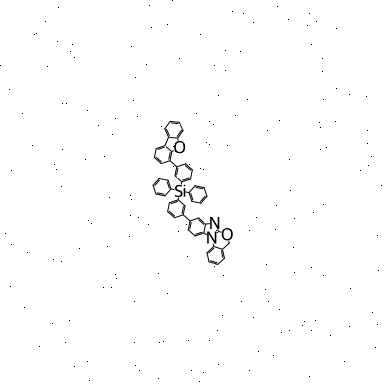 c1ccc([Si](c2ccccc2)(c2cccc(-c3ccc4c(c3)nc3n4-c4ccccc4CO3)c2)c2cccc(-c3cccc4c3oc3ccccc34)c2)cc1